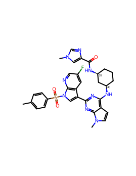 Cc1ccc(S(=O)(=O)n2cc(-c3nc(N[C@@H]4CCC[C@H](NC(=O)c5cn(C)cn5)C4)c4ccn(C)c4n3)c3cc(F)cnc32)cc1